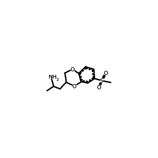 CC(N)CC1COc2ccc(S(C)(=O)=O)cc2O1